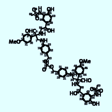 COc1ccc(C(C=O)(CNc2ccc(CO[PH](=O)OCc3ccc(NCC(C=O)(NCC(O)c4ccc(O)c(NS(C)(=O)=O)c4)c4ccc(OC)cc4)cc3)cc2)NCC(O)c2ccc(O)c(NS(C)(=O)=O)c2)cc1